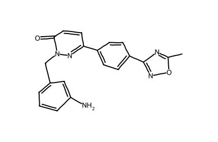 Cc1nc(-c2ccc(-c3ccc(=O)n(Cc4cccc(N)c4)n3)cc2)no1